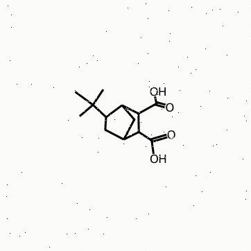 CC(C)(C)C1CC2CC1C(C(=O)O)C2C(=O)O